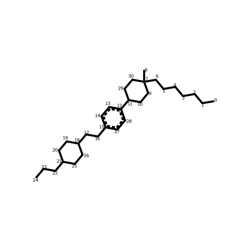 CCCCCCCC1(C)CCC(c2ccc(CCC3CCC(CCC)CC3)cc2)CC1